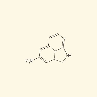 O=[N+]([O-])C1=CC2CNC3=CC=CC(=C1)C32